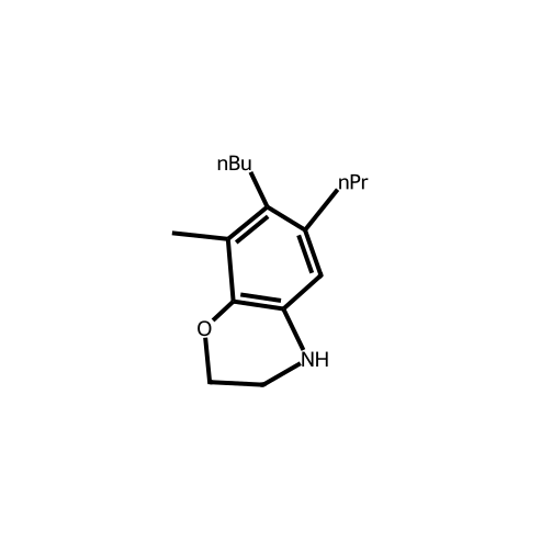 CCCCc1c(CCC)cc2c(c1C)OCCN2